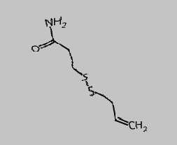 C=CCSSCCC(N)=O